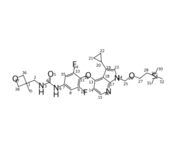 CC1(CNC(=O)Nc2cc(F)c(Oc3ccnc4c3c(C3CC3)cn4COCC[Si](C)(C)C)c(F)c2)COC1